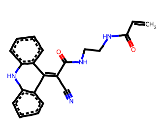 C=CC(=O)NCCNC(=O)C(C#N)=C1c2ccccc2Nc2ccccc21